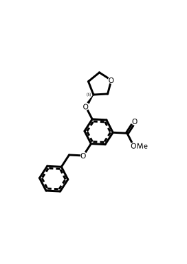 COC(=O)c1cc(OCc2ccccc2)cc(O[C@H]2CCOC2)c1